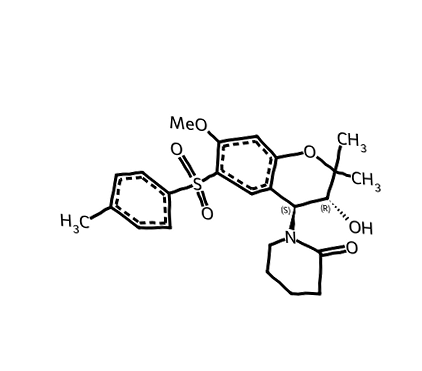 COc1cc2c(cc1S(=O)(=O)c1ccc(C)cc1)[C@H](N1CCCCC1=O)[C@@H](O)C(C)(C)O2